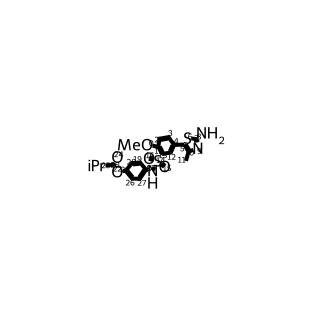 COc1ccc(-c2sc(N)nc2C)cc1S(=O)(=O)Nc1ccc(OC(=O)C(C)C)cc1